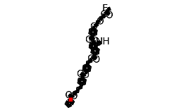 C=C(F)C(=O)OCCOCCOc1ccc(C(=O)Oc2ccc3cc(C(=O)OCCc4ccc(OC(=O)c5ccc(CCCCOC(=O)C6CC7C=CC6C7)cc5)cc4)ccc3c2C=N)cc1